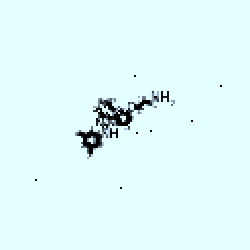 Cc1cc(C)cc(NC2=N[N+]3(c4cccc(OCCCN)c4)C=CN=CC3=N2)c1